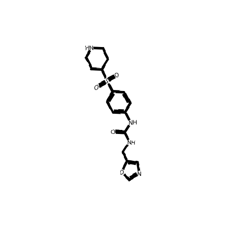 O=C(NCc1cnco1)Nc1ccc(S(=O)(=O)C2CCNCC2)cc1